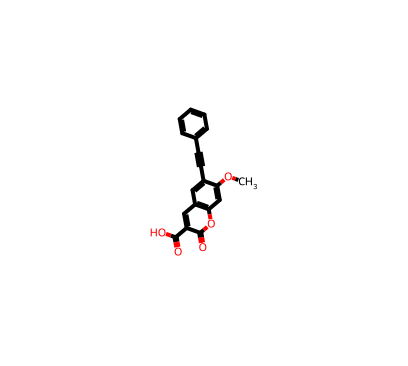 COc1cc2oc(=O)c(C(=O)O)cc2cc1C#Cc1ccccc1